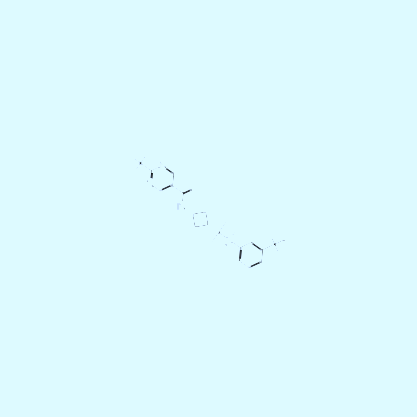 CC(C)([C@H]1C[C@@H](NC(=O)c2cnc(C(F)(F)F)nc2)C1)S(=O)(=O)c1cccc(C(F)(F)F)c1